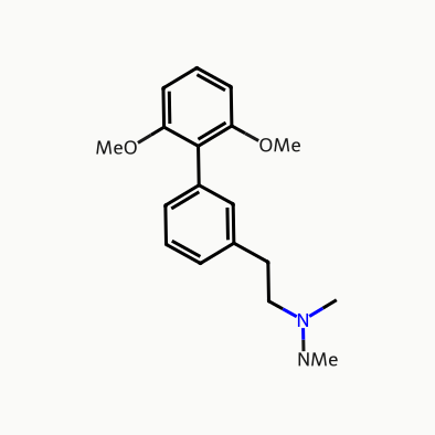 CNN(C)CCc1cccc(-c2c(OC)cccc2OC)c1